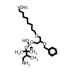 CCCCCCCCCCCCCCCCCCOCC(COP(=O)(O)OC(C)(C)C(C)CN)OCc1ccccc1